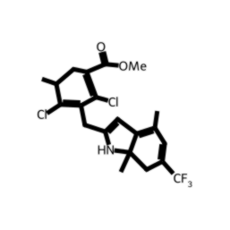 COC(=O)C1=C(Cl)C(CC2=CC3=C(C)C=C(C(F)(F)F)CC3(C)N2)=C(Cl)C(C)C1